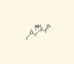 COCCC=O.[AlH3]